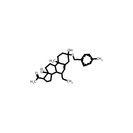 CCC1C=C2CC(O)(OCc3ccc(C)cc3)CCC2(C)C2CCC3(C)C(C(C)=O)CCC3C12